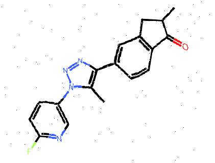 Cc1c(-c2ccc3c(c2)CC(C)C3=O)nnn1-c1ccc(F)nc1